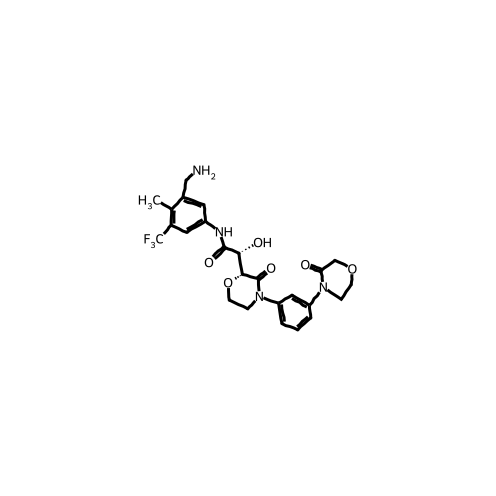 Cc1c(CN)cc(NC(=O)[C@H](O)[C@H]2OCCN(c3cccc(N4CCOCC4=O)c3)C2=O)cc1C(F)(F)F